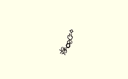 CC1(C)OB(c2ccc3c(c2)CC2(CCN(C4CCC4)CC2)O3)OC1(C)C